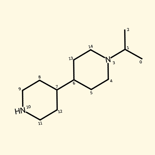 CC(C)N1CCC(C2CCNCC2)CC1